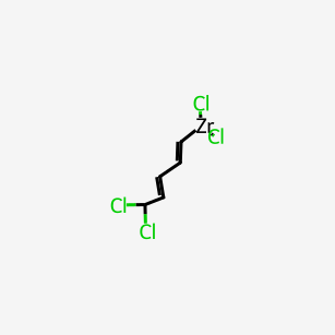 ClC(Cl)C=CC=[CH][Zr]([Cl])[Cl]